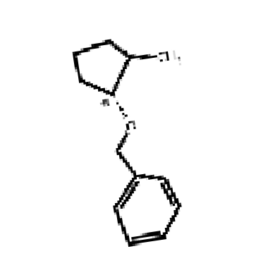 CC1CCC[C@H]1OCc1ccccc1